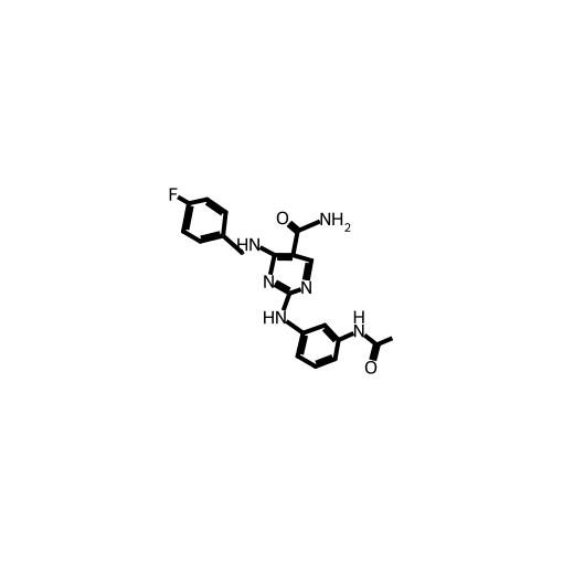 CC(=O)Nc1cccc(Nc2ncc(C(N)=O)c(NCc3ccc(F)cc3)n2)c1